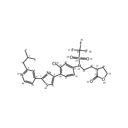 CC(C)Cc1cc(-c2nc(-c3ccc(N(CCN4CCOC4=O)S(=O)(=O)C(F)(F)F)cc3Cl)cs2)ccn1